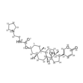 C[C@]12CC[C@H](OC(=O)NCCN3CCCC3)C[C@H]1CC[C@@H]1C2CC[C@]2(C)[C@@H](c3ccc(=O)oc3)CC[C@]12O